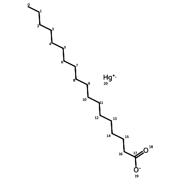 CCCCCCCCCCCCCCCCCC(=O)[O-].[Hg+]